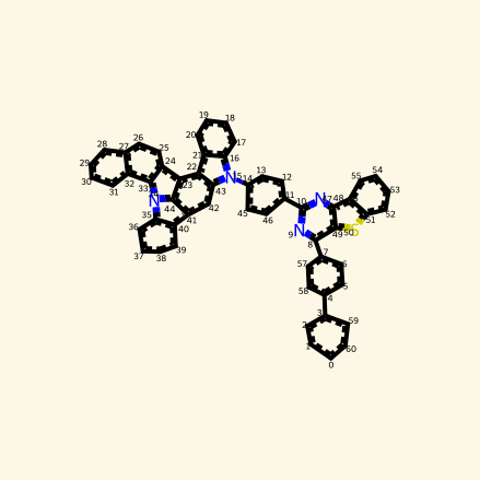 c1ccc(-c2ccc(-c3nc(-c4ccc(-n5c6ccccc6c6c7c8ccc9ccccc9c8n8c9ccccc9c(cc65)c78)cc4)nc4c3sc3ccccc34)cc2)cc1